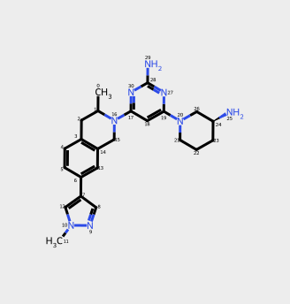 CC1Cc2ccc(-c3cnn(C)c3)cc2CN1c1cc(N2CCC[C@H](N)C2)nc(N)n1